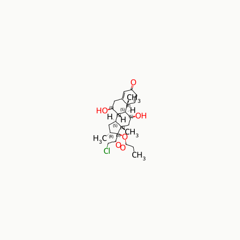 CCC(=O)O[C@@]1(C(=O)CCl)[C@H](C)C[C@H]2[C@H]3[C@H]([C@@H](O)C[C@@]21C)[C@@]1(C)C=CC(=O)C=C1C[C@@H]3O